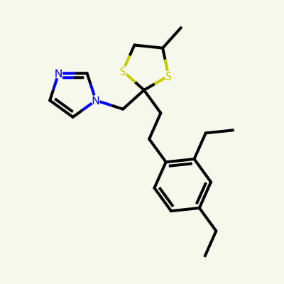 CCc1ccc(CCC2(Cn3ccnc3)SCC(C)S2)c(CC)c1